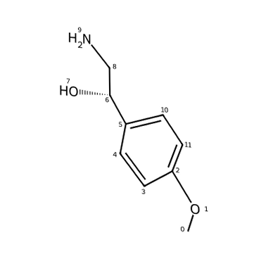 COc1ccc([C@H](O)CN)cc1